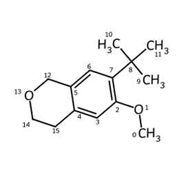 COc1cc2c(cc1C(C)(C)C)COCC2